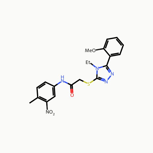 CCn1c(SCC(=O)Nc2ccc(C)c([N+](=O)[O-])c2)nnc1-c1ccccc1OC